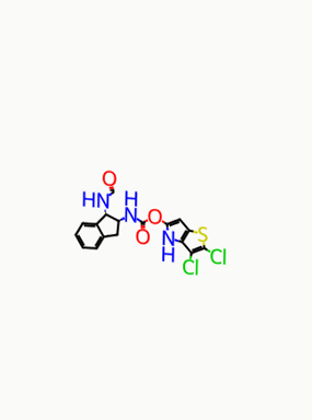 O=CN[C@H]1c2ccccc2C[C@@H]1NC(=O)Oc1cc2sc(Cl)c(Cl)c2[nH]1